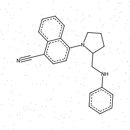 N#Cc1ccc(N2CCCC2CNc2ccccc2)c2ccccc12